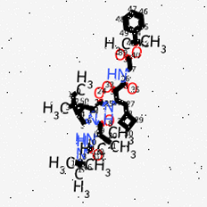 CCC1(C)C2CN(C(=O)[C@@H](NC(=O)NC(C)(C)C)C(C)(C)C)[C@H](C(=O)NC(CC3CCC3)C(=O)C(=O)NCC(=O)OC(C)(C)c3ccccc3)C21